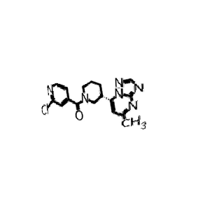 Cc1cc([C@H]2CCCN(C(=O)c3ccnc(Cl)c3)C2)n2ncnc2n1